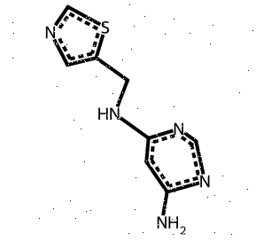 Nc1cc(NCc2cncs2)ncn1